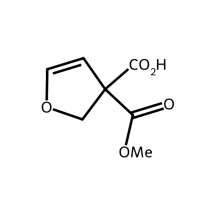 COC(=O)C1(C(=O)O)C=COC1